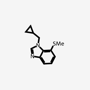 CSc1cccc2ncn(CC3CC3)c12